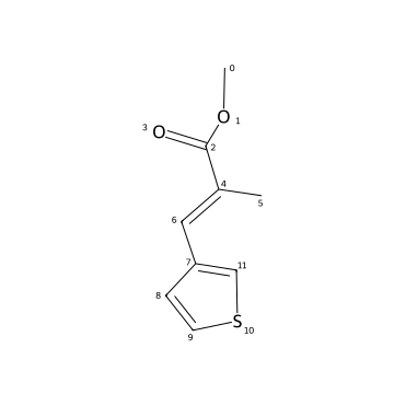 COC(=O)/C(C)=C/c1ccsc1